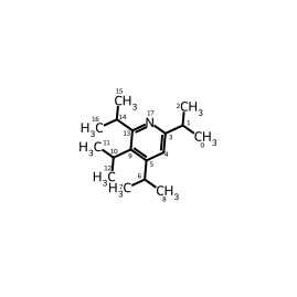 CC(C)c1cc(C(C)C)c(C(C)C)c(C(C)C)n1